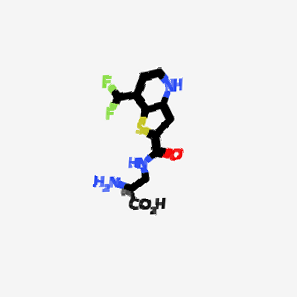 N[C@H](CNC(=O)C1CC2NCCC(C(F)F)C2S1)C(=O)O